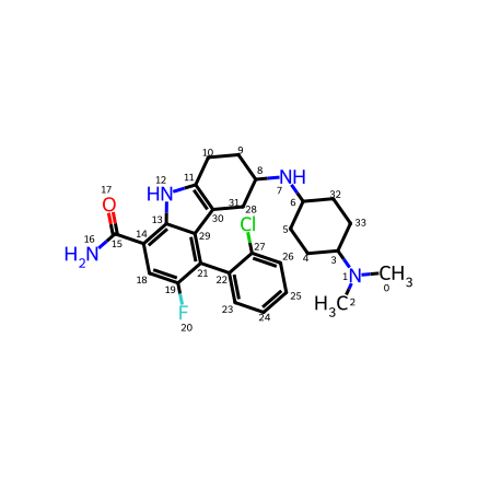 CN(C)C1CCC(NC2CCc3[nH]c4c(C(N)=O)cc(F)c(-c5ccccc5Cl)c4c3C2)CC1